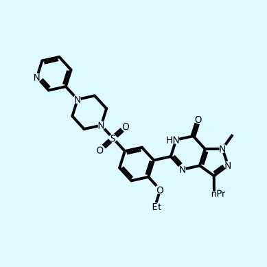 CCCc1nn(C)c2c(=O)[nH]c(-c3cc(S(=O)(=O)N4CCN(c5cccnc5)CC4)ccc3OCC)nc12